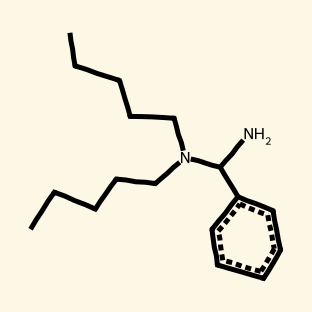 CCCCCN(CCCCC)C(N)c1ccccc1